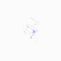 N#Cc1cccc([C@H](Nc2cc(Cl)c3ncc(C#N)c(Nc4ccc(Cl)c(Cl)c4F)c3c2)c2c[nH]nn2)c1